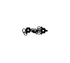 Cc1cc(C)c(S(=O)(=O)N[C@@H](C)COc2ccc3c(c2)OCO3)c(C)c1